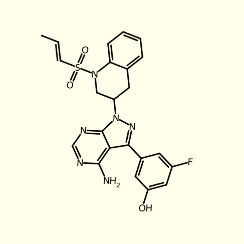 CC=CS(=O)(=O)N1CC(n2nc(-c3cc(O)cc(F)c3)c3c(N)ncnc32)Cc2ccccc21